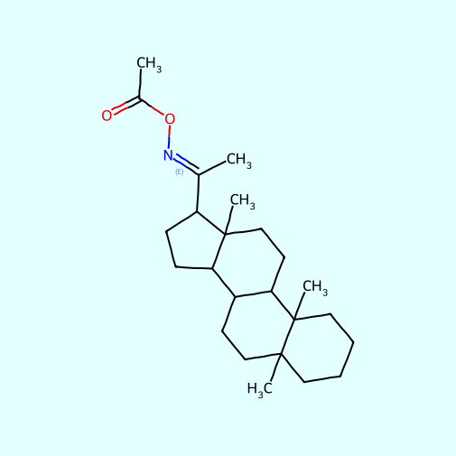 CC(=O)O/N=C(\C)C1CCC2C3CCC4(C)CCCCC4(C)C3CCC12C